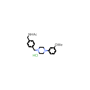 COc1cccc(N2CCN(Cc3ccc(CNC(C)=O)cc3)CC2)c1.Cl